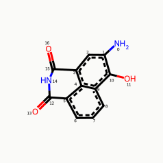 Nc1cc2c3c(cccc3c1O)C(=O)NC2=O